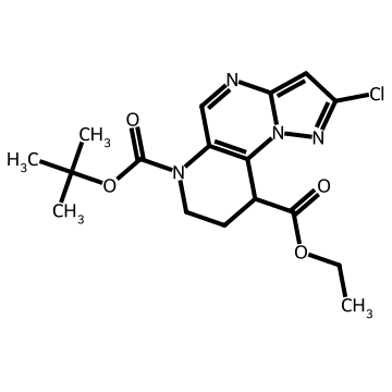 CCOC(=O)C1CCN(C(=O)OC(C)(C)C)c2cnc3cc(Cl)nn3c21